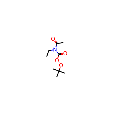 CCN(C(C)=O)C(=O)OOC(C)(C)C